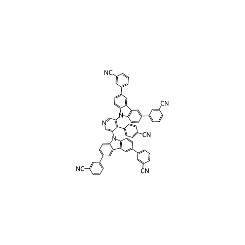 N#Cc1ccc(-c2c(-n3c4ccc(-c5cccc(C#N)c5)cc4c4cc(-c5cccc(C#N)c5)ccc43)cncc2-n2c3ccc(-c4cccc(C#N)c4)cc3c3cc(-c4cccc(C#N)c4)ccc32)cc1